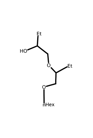 CCCCCCOCC(CC)OCC(O)CC